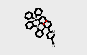 N#Cc1ccc(-c2ccccc2-c2ccccc2N2c3ccccc3[Si](c3ccccc3)(c3ccccc3)c3ccccc32)nc1